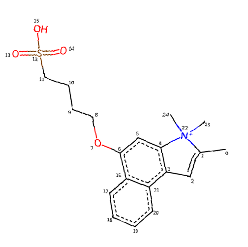 CC1=Cc2c(cc(OCCCCS(=O)(=O)O)c3ccccc23)[N+]1(C)C